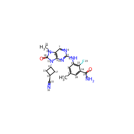 Cc1cc(Nc2ncc3c(n2)n([C@H]2C[C@H](C#N)C2)c(=O)n3C)c(F)c(C(N)=O)c1